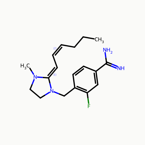 CCC/C=C\C=C1/N(C)CCN1Cc1ccc(C(=N)N)cc1F